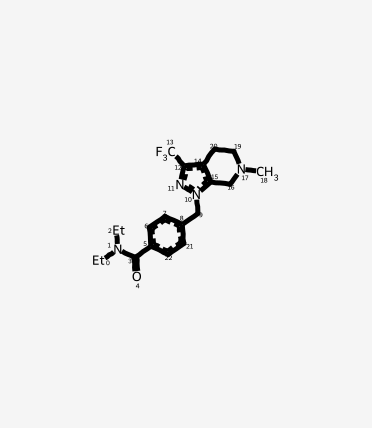 CCN(CC)C(=O)c1ccc(Cn2nc(C(F)(F)F)c3c2CN(C)CC3)cc1